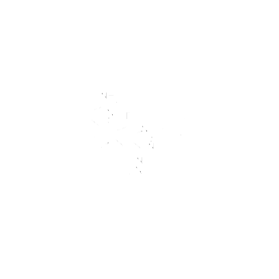 Cc1cc(N)nc(-c2c(Cl)cc3c(N4CC5CCC(C4)N5)nc(OCC4(CO)CCCC4)nc3c2F)c1C(F)(F)F